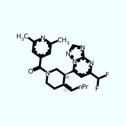 CCC/C=C1/CCN(C(=O)c2cc(C)nc(C)c2)C[C@H]1c1cc(C(F)F)nc2ncnn12